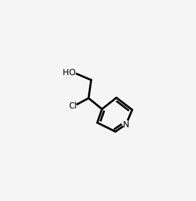 OCC(Cl)c1ccncc1